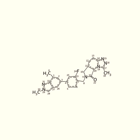 Cc1cc(-c2ccc(CN3Cc4ccc5nnc(C)n5c4C3=O)c(F)c2)cc2cn(C)nc12